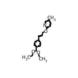 CCOC(OCC)c1ccc(C=CCOc2ccc(C)cn2)cc1